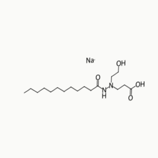 CCCCCCCCCCCC(=O)NN(CCO)CCC(=O)O.[Na]